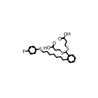 O=C(O)CCSC(SCCC(=O)O)c1ccccc1CCCCCCCSc1ccc(F)cc1